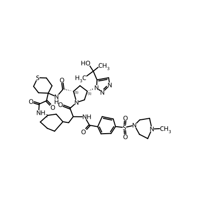 CN1CCN(S(=O)(=O)c2ccc(C(=O)NC(CC3CCCCC3)C(=O)N3C[C@@H](n4nncc4C(C)(C)O)C[C@H]3C(=O)NC3(C(=O)C(N)=O)CCSCC3)cc2)CC1